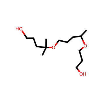 CC(CCCOC(C)(C)CCCO)OCCCO